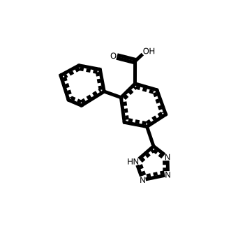 O=C(O)c1ccc(-c2nnn[nH]2)cc1-c1ccccc1